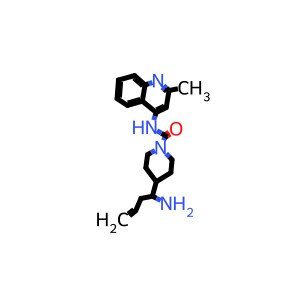 C=CCC(N)C1CCN(C(=O)Nc2cc(C)nc3ccccc23)CC1